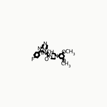 COC1=CC(N2CCN(C(=O)C(C)Nc3c(-c4ccc(F)cc4)nc4cnccn34)CC2)=CC(OC)C1